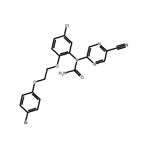 N#Cc1cnc(N(C(N)=O)c2cc(Cl)ccc2OCCOc2ccc(Br)cc2)cn1